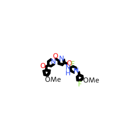 COc1ccc(C(=O)C2CCN(C(=O)c3ccc(C(=O)N[C@@H]4CCN(Cc5ccc(F)c(OC)c5)C[C@H]4F)cn3)CC2)cc1